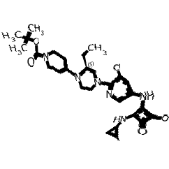 CC[C@H]1CN(c2ncc(Nc3c(NC4CC4)c(=O)c3=O)cc2Cl)CCN1C1CCN(C(=O)OC(C)(C)C)CC1